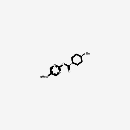 CCCCCCc1cnc(OC(=O)[C@H]2CC[C@H](CCCC)CC2)nc1